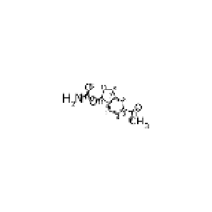 CC(=O)c1ccc2c(c1)CCC2OC(N)=O